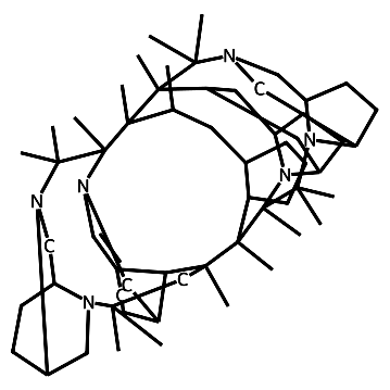 CC1CC2CCCC2C2(C)C3(C)CC(C)(C)N4CC5CCC4CN5C(C)(C)C(C)(N4C=C5CCC(C4)C53)C1(C)C1(C)C3CC4CCC(C3)N4C2(C)C(C)(C)N2C3CCC2CN(C3)C1(C)C